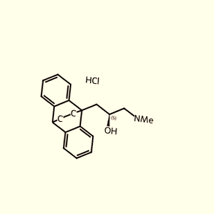 CNC[C@@H](O)CC12CCC(c3ccccc31)c1ccccc12.Cl